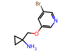 NC1(COc2cncc(Br)c2)CC1